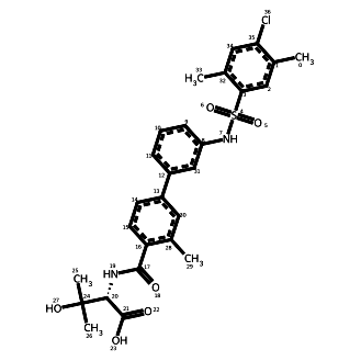 Cc1cc(S(=O)(=O)Nc2cccc(-c3ccc(C(=O)N[C@H](C(=O)O)C(C)(C)O)c(C)c3)c2)c(C)cc1Cl